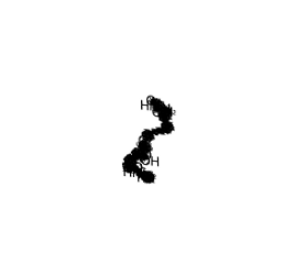 Cc1c(O[C@H]2CC[C@H](CCCCN3CCC[C@H](c4ccc5c(C6CCC(=O)NC6=O)nn(C)c5c4)C3)CC2)cccc1-c1ccc(N2CCc3cccc(C(=O)Nc4nc5ccccc5s4)c3C2)nc1C(=O)O